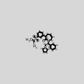 CN(C)S(=O)(=O)c1cccc(C2CC=CCN([C@H](CN3CCCC3)c3ccccc3)C2=O)c1